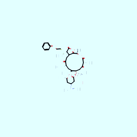 CC[C@H]1OC(=O)[C@H](C)C(=O)[C@H](C)[C@@H](O[C@@H]2O[C@H](C)C[C@H](N(C)C)[C@H]2O)[C@](C)(OC)C[C@@H](C)C(=O)[C@H](C)[C@H]2[C@H](SCCOc3ccccc3)C(=O)O[C@@]21C